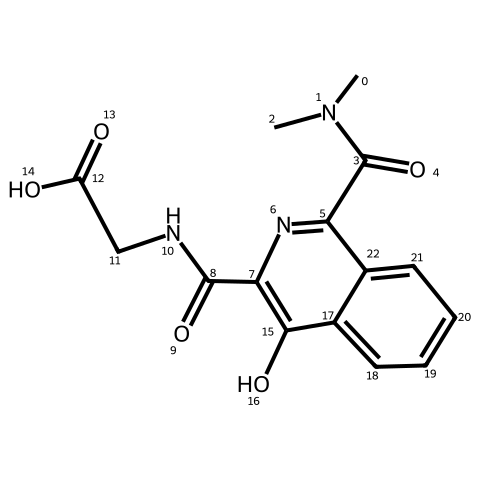 CN(C)C(=O)c1nc(C(=O)NCC(=O)O)c(O)c2ccccc12